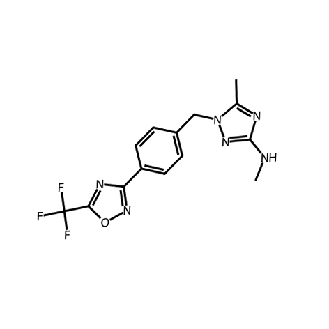 CNc1nc(C)n(Cc2ccc(-c3noc(C(F)(F)F)n3)cc2)n1